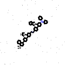 C[Si](C)(C)c1ccc(-c2ccc(-c3ccc(/C=C/c4ccc(-c5ccc(N(c6ccccc6)c6ccccc6)cc5[SiH]5Cc6ccccc6C5)cc4)cc3[SiH]3CC=CC3)cc2)c2ccccc12